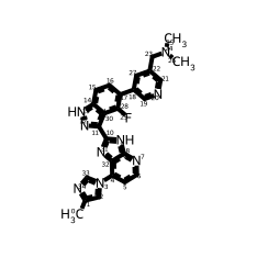 Cc1cn(-c2ccnc3[nH]c(-c4n[nH]c5ccc(-c6cncc(CN(C)C)c6)c(F)c45)nc23)cn1